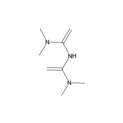 C=C(NC(=C)N(C)C)N(C)C